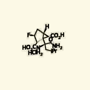 CC(C)C[C@@](N)(C(N)=O)[C@@]12C(C(=O)O)[C@@H](F)C[C@@H]1[C@@H]2C(=O)O.Cl